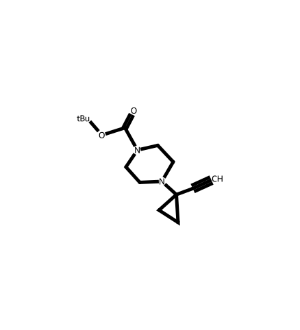 C#CC1(N2CCN(C(=O)OC(C)(C)C)CC2)CC1